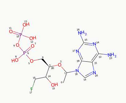 CC(O[C@H](COP(=O)(O)OP(=O)(O)O)C(O)CF)n1cnc2c(N)nc(N)nc21